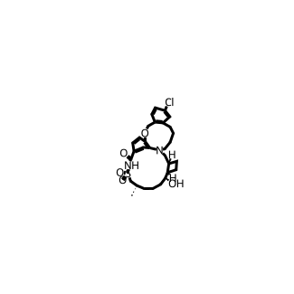 C[C@H]1CCC[C@H](O)[C@H]2CC[C@H]2CN2CCCCc3cc(Cl)ccc3COc3ccc(cc32)C(=O)NS(=O)(=O)C1